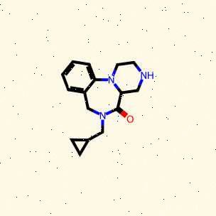 O=C1C2CNCCN2c2ccccc2CN1CC1CC1